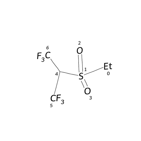 CCS(=O)(=O)C(C(F)(F)F)C(F)(F)F